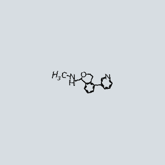 CNCC1OCCc2c(-c3cccnc3)cccc21